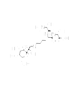 C[C@H](N)C(=O)N[C@@H](CCCCNCC(F)(F)C1(O)O[C@H](CO)[C@H](O)[C@H](O)[C@H]1O)C(=O)N[C@@H](C)C(=O)O